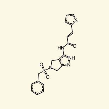 O=C(/C=C/c1cccs1)Nc1[nH]nc2c1CN(S(=O)(=O)Cc1ccccc1)C2